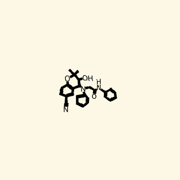 CC1(C)Oc2ccc(C#N)cc2C(N(CC(=O)Nc2ccccc2)c2ccccc2)C1O